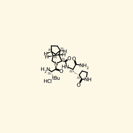 CC(C)(C)[C@H](N)C(=O)N1C[C@@H]2[C@@H]3CC[C@@H](C3)[C@@H]2[C@H]1C(=O)N[C@@H](C[C@@H]1CCNC1=O)C(N)=O.Cl